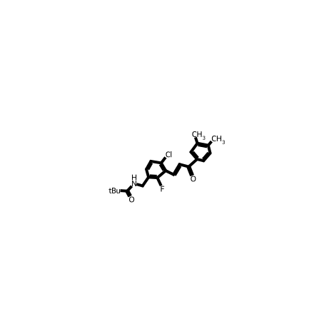 Cc1ccc(C(=O)/C=C/c2c(Cl)ccc(CNC(=O)C(C)(C)C)c2F)cc1C